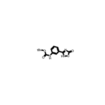 CC(C)(C)OC(=O)Nc1cccc(-c2nc(=O)o[nH]2)c1